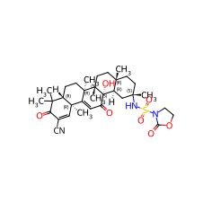 CC1(C)C(=O)C(C#N)=C[C@]2(C)C3=CC(=O)[C@]4(O)[C@@H]5C[C@@](C)(NS(=O)(=O)N6CCOC6=O)CC[C@@]5(C)CC[C@@]4(C)[C@]3(C)CC[C@@H]12